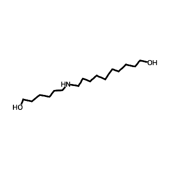 OCCCCCCCCCCNCCCCCCO